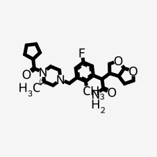 Cc1c(CN2CCN(C(=O)C3CCCC3)[C@@H](C)C2)cc(F)cc1C(C(N)=O)C1COC2OCCC21